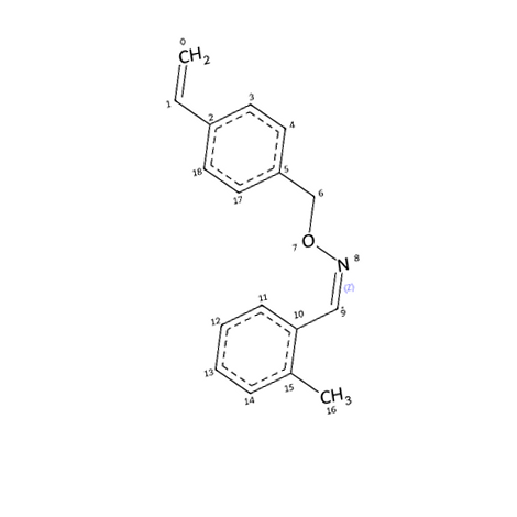 C=Cc1ccc(CO/N=[C]\c2ccccc2C)cc1